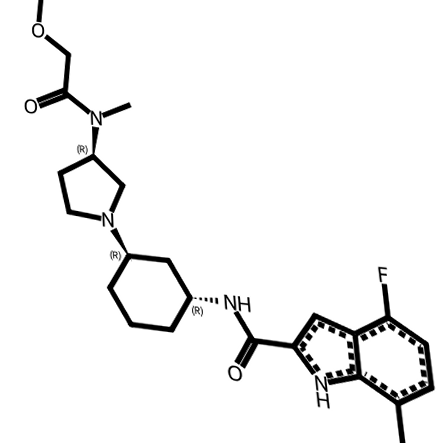 COCC(=O)N(C)[C@@H]1CCN([C@@H]2CCC[C@@H](NC(=O)c3cc4c(F)ccc(C)c4[nH]3)C2)C1